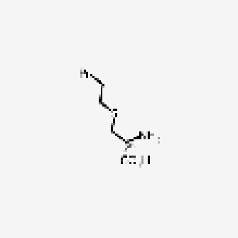 CC(C)CCSC[C@H](N)C(=O)O